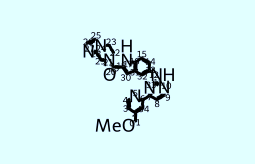 COCc1ccnc(-c2ccnc(Nc3ccc4[nH]c(C(=O)N5CCn6ccnc6C5)cc4c3)n2)c1